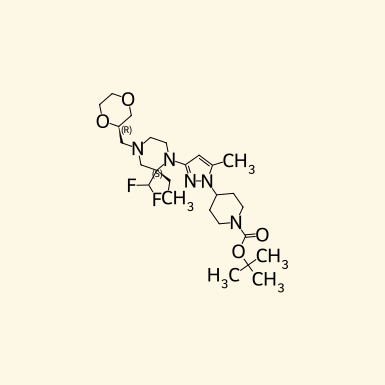 CC[C@@]1(C(F)F)CN(C[C@@H]2COCCO2)CCN1c1cc(C)n(C2CCN(C(=O)OC(C)(C)C)CC2)n1